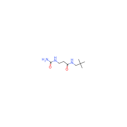 CC(C)(C)CNC(=O)CCNC(N)=O